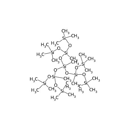 C[Si](C)(C)O[Si](C)(O[Si](C)(C)C)O[Si](C)(O[Si](C)(O[Si](C)(C)C)O[Si](C)(C)C)O[Si](C)(O[Si](C)(C)C)O[Si](C)(C)C